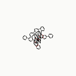 c1ccc(-c2ccc(-c3nc(-c4ccccc4)nc(-c4cccc(-n5c6ccccc6c6ccc7c8ccccc8n(-c8nc(-c9ccccc9)nc(-c9ccc(-c%10ccccc%10)cc9)n8)c7c65)c4)n3)cc2)cc1